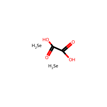 O=C(O)C(=O)O.[SeH2].[SeH2]